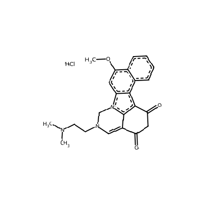 COc1cc2c(c3c4n2CN(CCN(C)C)C=C4C(=O)CC3=O)c2ccccc12.Cl